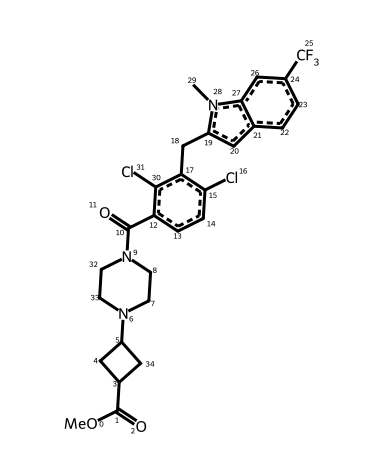 COC(=O)C1CC(N2CCN(C(=O)c3ccc(Cl)c(Cc4cc5ccc(C(F)(F)F)cc5n4C)c3Cl)CC2)C1